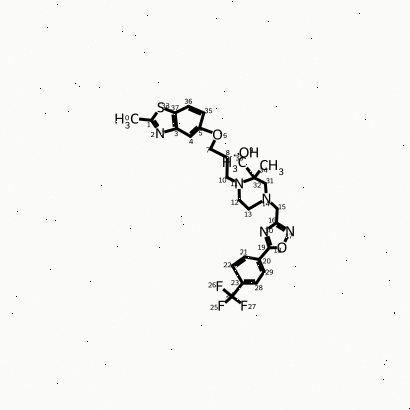 Cc1nc2cc(OC[C@H](O)CN3CCN(Cc4noc(-c5ccc(C(F)(F)F)cc5)n4)CC3(C)C)ccc2s1